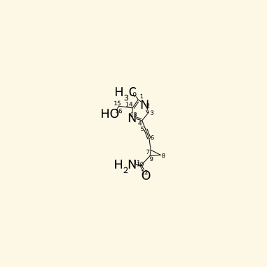 Cc1ncc(C#CC2CC2C(N)=O)nc1CO